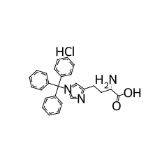 Cl.N[C@@H](CCc1cn(C(c2ccccc2)(c2ccccc2)c2ccccc2)cn1)C(=O)O